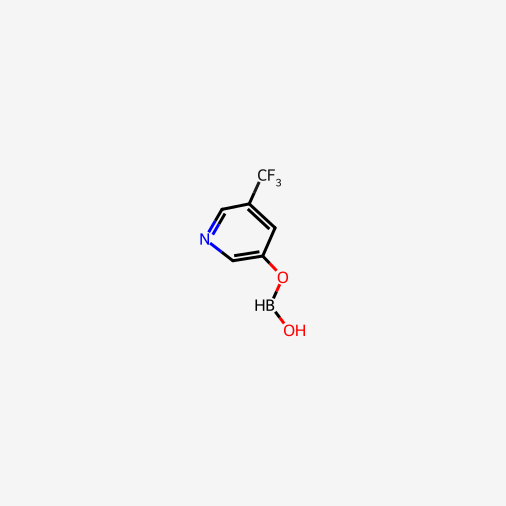 OBOc1cncc(C(F)(F)F)c1